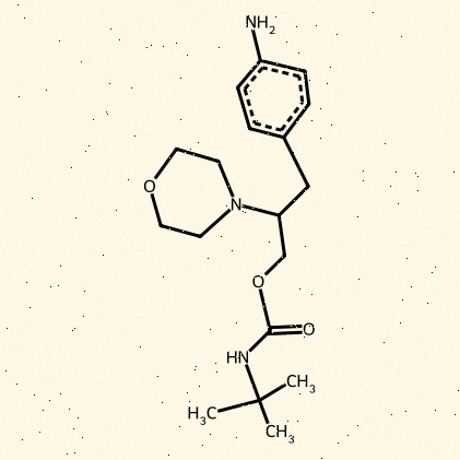 CC(C)(C)NC(=O)OCC(Cc1ccc(N)cc1)N1CCOCC1